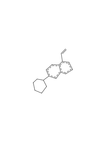 C=Cc1cccc2cc(C3CCCCC3)ccc12